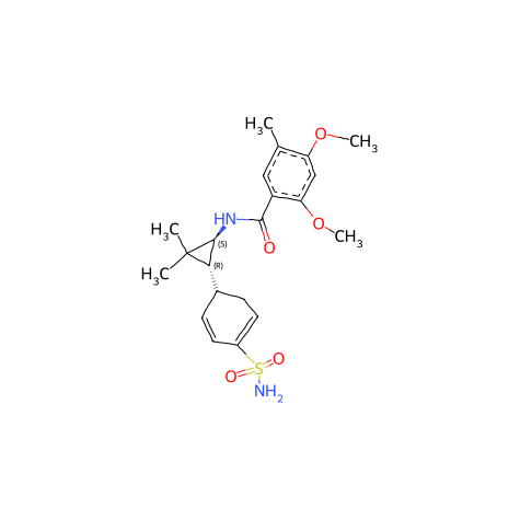 COc1cc(OC)c(C(=O)N[C@H]2[C@H](C3C=CC(S(N)(=O)=O)=CC3)C2(C)C)cc1C